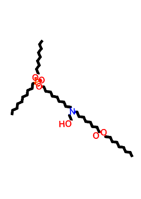 CCCCCCCCCCP(=O)(OCCCCCCCCC)OCCCCCCCCCN(CCO)CCCCCCCC(=O)OCCCCCCCCC